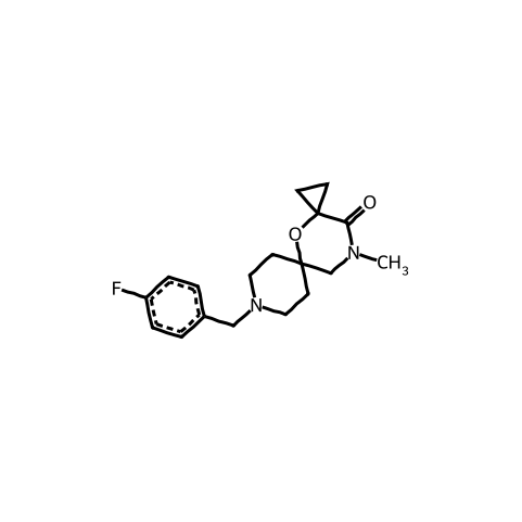 CN1CC2(CCN(Cc3ccc(F)cc3)CC2)OC2(CC2)C1=O